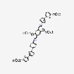 CCCCCCCCOc1cc(/C=C/c2ccc(-c3ccc(CCCCCCCC)s3)s2)c(OCCCCCCCC)cc1/C=C/c1ccc(-c2ccc(-c3ccc(CCCCCCCC)s3)s2)cc1